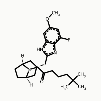 COc1cc(F)c2nc(C[C@@H]3C[C@H]4CC[C@@H](C3)N4CC(=O)CCCC(C)(C)C)[nH]c2c1